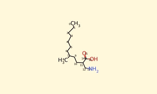 CCCCCCCC(C)CCC(CN)C(=O)O